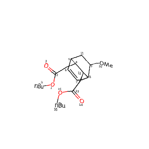 CCCCOC(=O)C1C2C=CC(C(OC)C2)C1C(=O)OCCCC